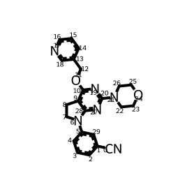 N#Cc1cccc(N2CCc3c(OCc4cccnc4)nc(N4CCOCC4)nc32)c1